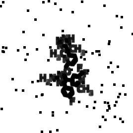 Cc1cc(-c2c(OCc3cccc(C(C)(C)c4nn[nH]n4)n3)nc(N)nc2-c2ccc(F)cc2)cc(C(F)F)n1